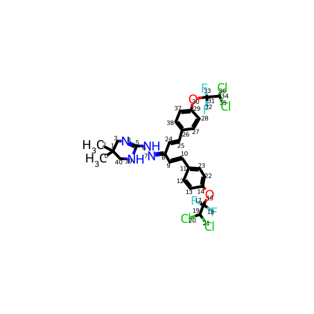 CC1(C)CN=C(NN=C(/C=C/c2ccc(OC(F)(F)C(Cl)Cl)cc2)/C=C/c2ccc(OC(F)(F)C(Cl)Cl)cc2)NC1